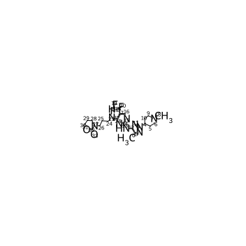 Cc1nn(C2CCN(C)CC2)nc1Nc1ncc(C(F)(F)F)c(NCCCN2CCCOC2=O)n1